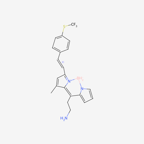 CC1=CC(/C=C/c2ccc(SC(F)(F)F)cc2)=[N+]2[BH2-]n3cccc3C(CCN)=C12